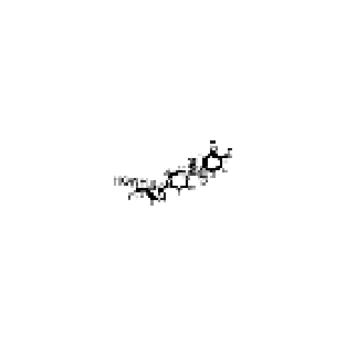 O=C(NO)c1cnc(N2CCN(S(=O)(=O)c3ccc(F)c(F)c3)CC2)s1